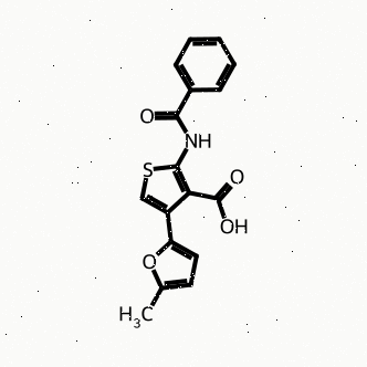 Cc1ccc(-c2csc(NC(=O)c3ccccc3)c2C(=O)O)o1